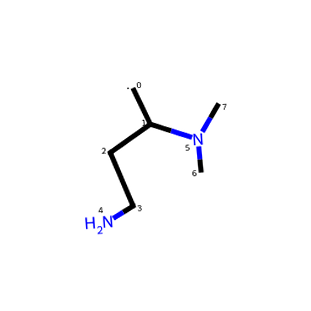 [CH2]C(CCN)N(C)C